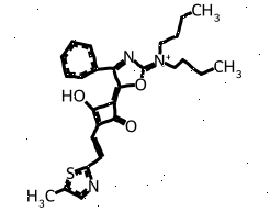 CCCC[N+](CCCC)=C1N=C(c2ccccc2)/C(=C2/C(=O)C(/C=C/c3ncc(C)s3)=C2O)O1